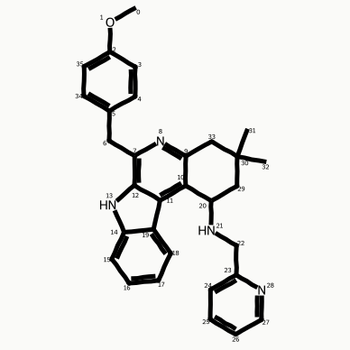 COc1ccc(Cc2nc3c(c4c2[nH]c2ccccc24)C(NCc2ccccn2)CC(C)(C)C3)cc1